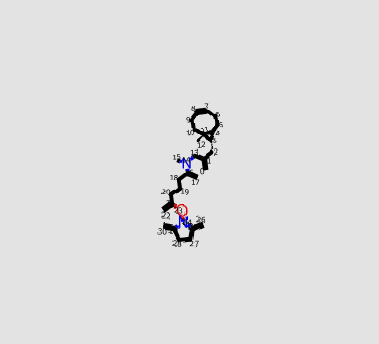 C=C(C[C@H]1C2CCC#CCC[C@]21C)CN(C)C(=C)CCCC(=C)ON1C(=C)CCC1=C